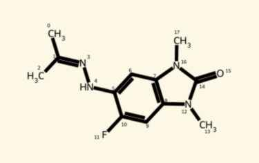 CC(C)=NNc1cc2c(cc1F)n(C)c(=O)n2C